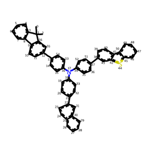 CC1(C)c2ccccc2-c2ccc(-c3ccc(N(c4ccc(-c5ccc6ccccc6c5)cc4)c4ccc(-c5ccc6c(c5)sc5ccccc56)cc4)cc3)cc21